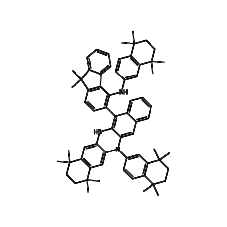 CC1(C)CCC(C)(C)c2cc(Nc3c(-c4c5c(cc6ccccc46)N(c4ccc6c(c4)C(C)(C)CCC6(C)C)c4cc6c(cc4B5)C(C)(C)CCC6(C)C)ccc4c3-c3ccccc3C4(C)C)ccc21